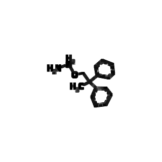 CC(CO[SiH2]N)(c1ccccc1)c1ccccc1